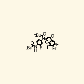 CCc1c(F)cc2c(=O)cc(N(C(=O)C(C)(C)C)c3ccc(NC(=O)C(C)(C)C)c(F)c3)oc2c1F